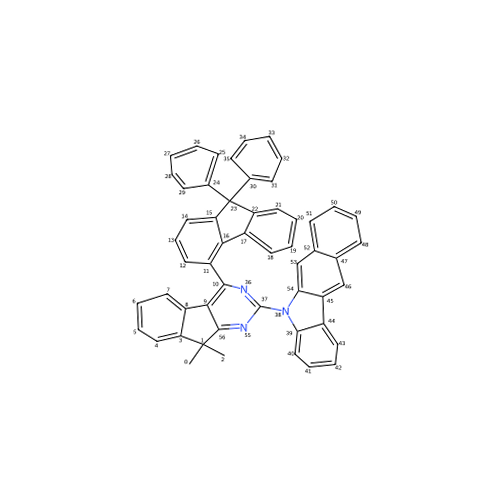 CC1(C)c2ccccc2-c2c(-c3cccc4c3-c3ccccc3C4(c3ccccc3)c3ccccc3)nc(-n3c4ccccc4c4cc5ccccc5cc43)nc21